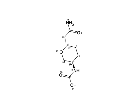 NC(=O)C[C@@H]1CC[C@@H](NC(=O)O)CO1